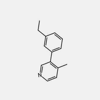 CCc1cccc(-c2cnccc2C)c1